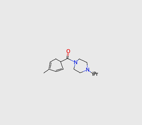 CC1=CCC(C(=O)N2CCN(C(C)C)CC2)C=C1